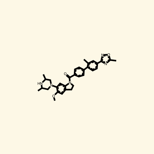 COc1cc2c(cc1N1CC(C)NC(C)C1)N(C(=O)c1ccc(-c3ccc(-c4noc(C)n4)cc3C)cc1)CC2